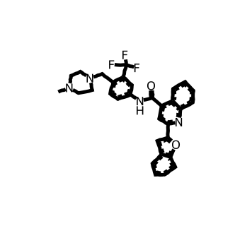 CN1CCN(Cc2ccc(NC(=O)c3cc(-c4cc5ccccc5o4)nc4ccccc34)cc2C(F)(F)F)CC1